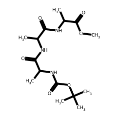 COC(=O)C(C)NC(=O)C(C)NC(=O)C(C)NC(=O)OC(C)(C)C